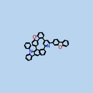 c1ccc(-c2cc(-c3cccc4oc5ccc(-c6cccc7c8ccccc8n(-c8ccccc8)c67)cc5c34)cc(-c3ccc4c(c3)oc3ccccc34)n2)cc1